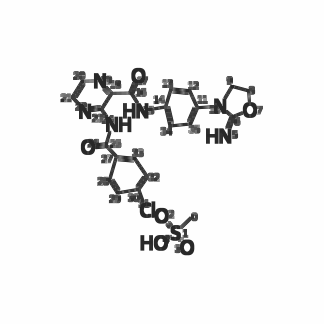 CS(=O)(=O)O.N=C1OCCN1c1ccc(NC(=O)c2nccnc2NC(=O)c2ccc(Cl)cc2)cc1